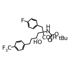 CC(C)(C)OC(=O)N[C@@](Cc1ccc(F)cc1)(C[C@H](O)CCc1ccc(C(F)(F)F)cc1)C(=O)O